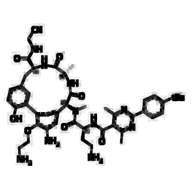 Cc1nc(-c2ccc(C(C)(C)C)cc2)nc(C)c1C(=O)N[C@@H](CCN)C(=O)N(C)[C@@H]1C(=O)N[C@@H](C)C(=O)N[C@H](C(=O)NCC#N)Cc2ccc(O)c(c2)-c2cc1cc(N)c2OCCN